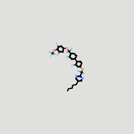 CCCCCc1cnc(C(F)(F)Oc2ccc(-c3ccc(C(F)(F)Oc4cc(F)c(OC(F)(F)F)c(F)c4)c(F)c3)c(F)c2)nc1